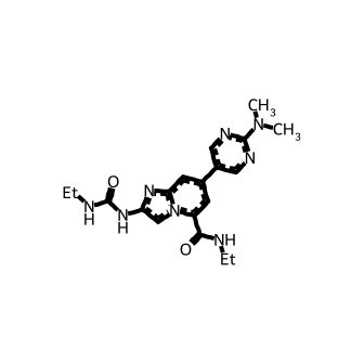 CCNC(=O)Nc1cn2c(C(=O)NCC)cc(-c3cnc(N(C)C)nc3)cc2n1